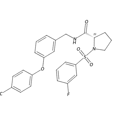 O=C(NCc1cccc(Oc2ccc(C(F)(F)F)cc2)c1)[C@@H]1CCCN1S(=O)(=O)c1cccc(F)c1